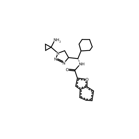 NC1(N2CC([C@@H](NC(=O)c3cc4ccccc4o3)C3CCCCC3)N=N2)CC1